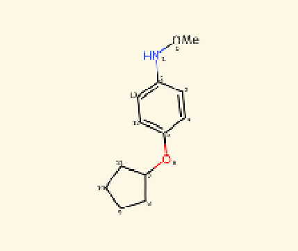 CONc1ccc(OC2CCCC2)cc1